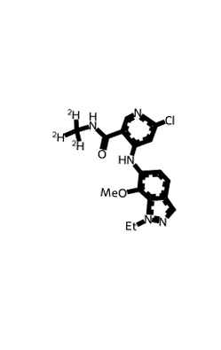 [2H]C([2H])([2H])NC(=O)c1cnc(Cl)cc1Nc1ccc2cnn(CC)c2c1OC